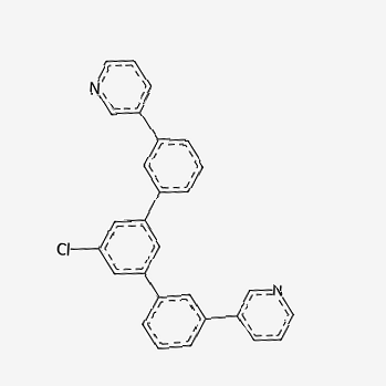 Clc1cc(-c2cccc(-c3cccnc3)c2)cc(-c2cccc(-c3cccnc3)c2)c1